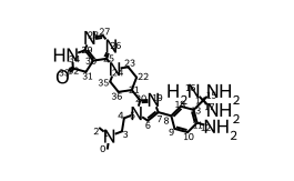 CN(C)CCn1cc(-c2ccc(N)c(C(N)(N)N)c2)nc1C1CCN(c2ncnc3c2CC(=O)N3)CC1